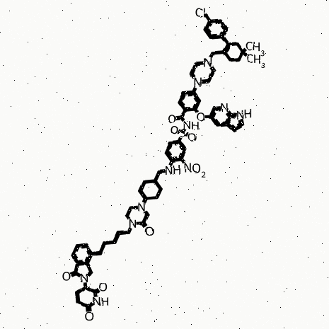 CC1(C)CCC(CN2CCN(c3ccc(C(=O)NS(=O)(=O)c4ccc(NCC5CCC(N6CCN(CCCCCc7cccc8c7CN(C7CCC(=O)NC7=O)C8=O)C(=O)C6)CC5)c([N+](=O)[O-])c4)c(Oc4cnc5[nH]ccc5c4)c3)CC2)=C(c2ccc(Cl)cc2)C1